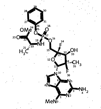 CNc1nc(N)nc2c1ncn2[C@@H]1O[C@](F)(COP(=O)(N[C@H](C)C(=O)OC)Oc2ccccc2)[C@@H](O)[C@@]1(C)F